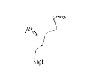 CCCCCCCCCCCCCCCCCC.[Na].[Na]